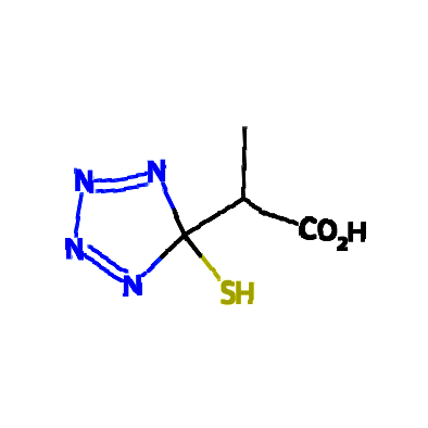 CC(C(=O)O)C1(S)N=NN=N1